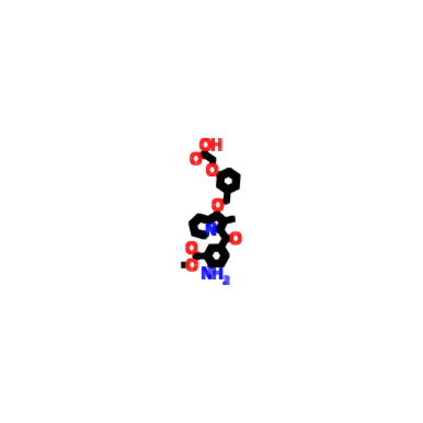 COC(=O)c1cc(C(=O)c2c(C)c(OCc3cccc(OCC(=O)O)c3)c3ccccn23)ccc1N